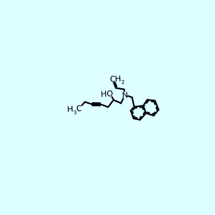 C=CCN(Cc1cccc2ccccc12)CC(O)CC#CCC